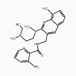 Cc1cccc2cc(CNC(=O)c3nccnc3N)c(N(C)CCN(C)CC#N)nc12